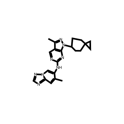 Cc1cc2ncnn2cc1Nc1ncc2c(C)nn(C3CCC4(CC3)CC4)c2n1